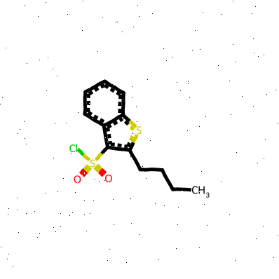 CCCCc1sc2ccccc2c1S(=O)(=O)Cl